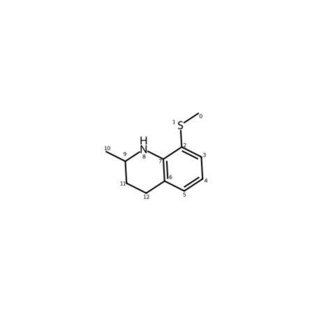 CSc1cccc2c1NC(C)CC2